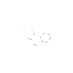 C/N=C1\C(=O)C=Cc2ccccc21